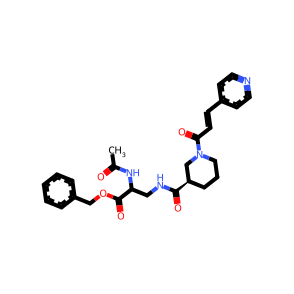 CC(=O)NC(CNC(=O)[C@@H]1CCCN(C(=O)/C=C/c2ccncc2)C1)C(=O)OCc1ccccc1